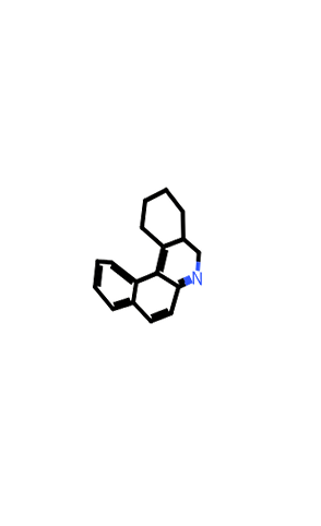 c1ccc2c3c(ccc2c1)=NCC1CCCCC=31